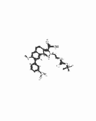 COc1cc2ccc3c(C(=O)O)n(CCNC(=O)OC(C)(C)C)nc3c2cc1-c1cccc([N+](=O)[O-])c1